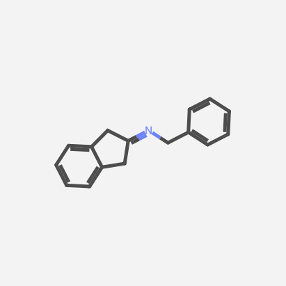 c1ccc(CN=C2Cc3ccccc3C2)cc1